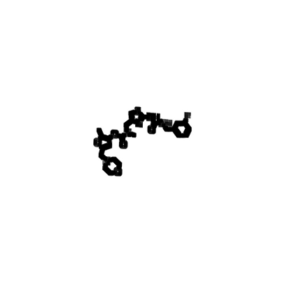 Cc1oc(CN2CCOCC2)cc1OC(=O)N(C)Cc1csc(NC(=O)NCc2cccc(F)c2)n1